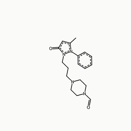 Cc1cc(=O)n(CCCN2CCN(C=O)CC2)n1-c1ccccc1